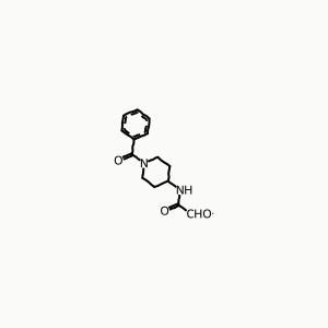 O=[C]C(=O)NC1CCN(C(=O)c2ccccc2)CC1